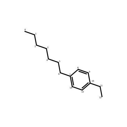 CCCCCCCc1ccc(CC)cc1